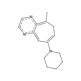 CC1=c2nccnc2=CC(N2CCCCC2)=CC1